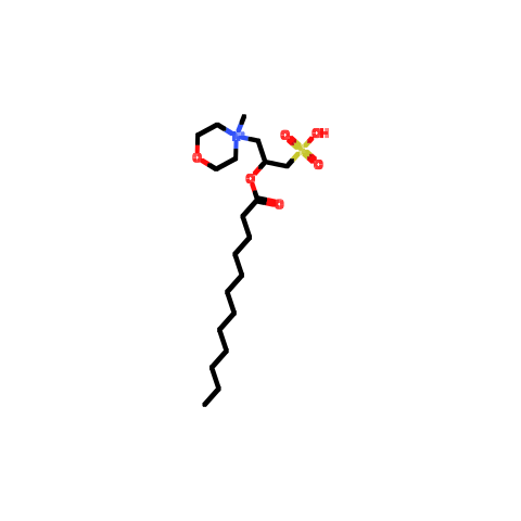 CCCCCCCCCCCC(=O)OC(C[N+]1(C)CCOCC1)CS(=O)(=O)O